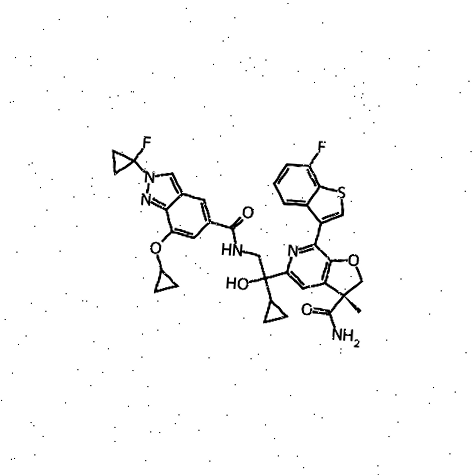 C[C@]1(C(N)=O)COc2c1cc(C(O)(CNC(=O)c1cc(OC3CC3)c3nn(C4(F)CC4)cc3c1)C1CC1)nc2-c1csc2c(F)cccc12